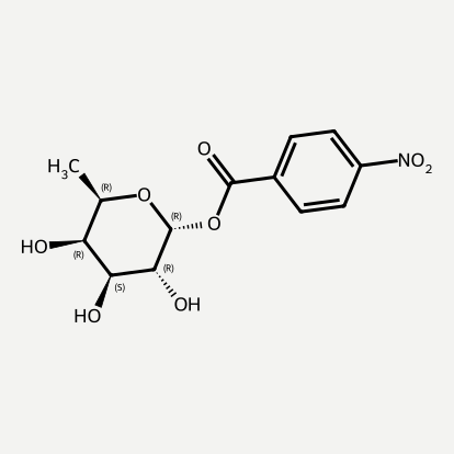 C[C@H]1O[C@H](OC(=O)c2ccc([N+](=O)[O-])cc2)[C@H](O)[C@@H](O)[C@H]1O